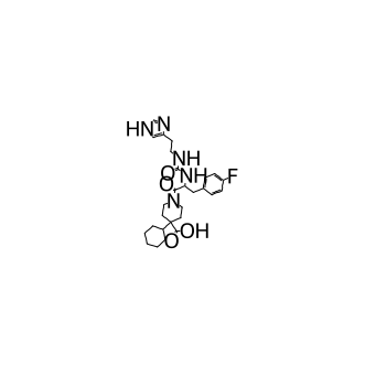 O=C(NCCc1c[nH]cn1)NC(Cc1ccc(F)cc1)C(=O)N1CCC(C(=O)O)(C2CCCCC2)CC1